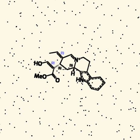 C/C=C1/C=[N+]2CCc3c([nH]c4ccccc34)[C@@H]2C[C@@H]1/C(=C/O)C(=O)OC